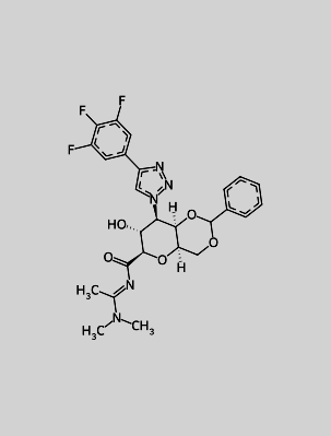 C/C(=N\C(=O)[C@@H]1O[C@@H]2COC(c3ccccc3)O[C@@H]2[C@H](n2cc(-c3cc(F)c(F)c(F)c3)nn2)[C@H]1O)N(C)C